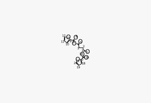 O=C(CCC(=O)OC(=O)c1ccco1)OC(=O)c1ccco1